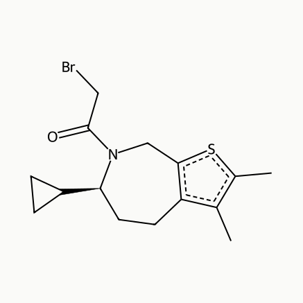 Cc1sc2c(c1C)CC[C@@H](C1CC1)N(C(=O)CBr)C2